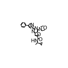 CC(NC(=O)c1cc2nc(-n3cc(-c4ccccc4)cn3)nc(N3CCOCC3)c2o1)C1CC1